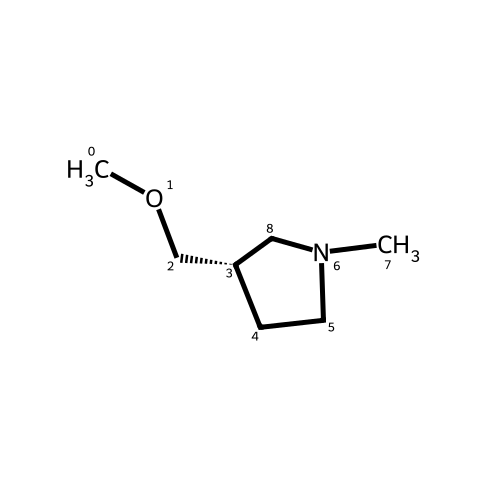 COC[C@H]1CCN(C)C1